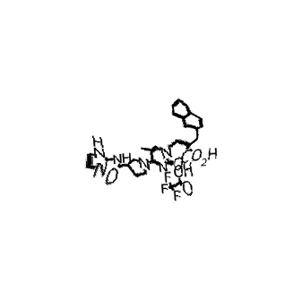 Cc1cn(CC(Cc2ccc3ccccc3c2)C(=O)O)c(=O)nc1N1CCC(C(=O)Nc2ncc[nH]2)C1.O=C(O)C(F)(F)F